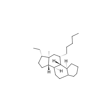 CCCCC[C@H]1C[C@]2(C)[C@@H](CC)CC[C@H]2[C@@H]2CCC3CCCC[C@@H]3[C@@H]12